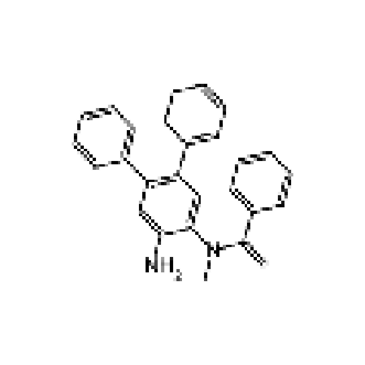 C=C(c1ccccc1)N(C)c1cc(C2=CC=CCC2)c(-c2ccccc2)cc1N